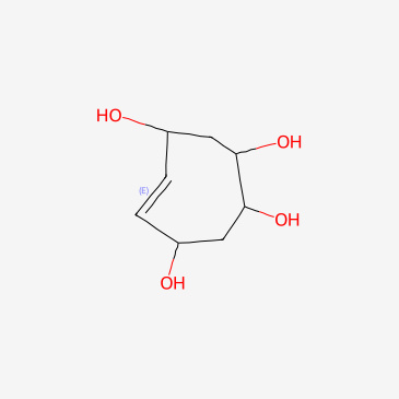 OC1/C=C/C(O)CC(O)C(O)C1